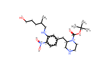 CC(CCCO)CNc1cc(CC2CNCCN2C(=O)OC(C)(C)C)ccc1[N+](=O)[O-]